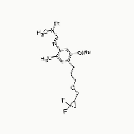 CCN(C)/C=N/c1cc(OC)c(CCCOCC2CC2(F)F)cc1C